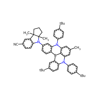 Cc1cc2c3c(c1)N(c1ccc(C(C)(C)C)cc1)c1cc(N4c5ccc(C#N)cc5C5(C)CCCC45C)ccc1B3c1cc(C(C)(C)C)ccc1N2c1ccc(C(C)(C)C)cc1